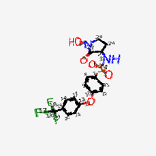 O=C1C(NS(=O)(=O)c2ccc(Oc3ccc(C(F)(F)F)cc3)cc2)CCN1O